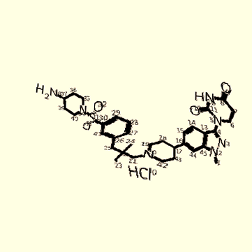 Cl.Cn1nc(N2CCC(=O)NC2=O)c2ccc(C3CCN(CC(C)(C)Cc4cccc(S(=O)(=O)N5CCC(N)CC5)c4)CC3)cc21